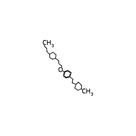 CCCCC1CCC(CCCOc2ccc(CCC3CCC(C)CC3)cc2)CC1